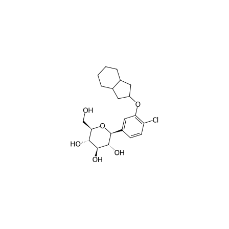 OC[C@H]1O[C@@H](c2ccc(Cl)c(OC3CC4CCCCC4C3)c2)[C@H](O)[C@@H](O)[C@@H]1O